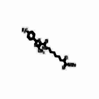 CNC(=O)C(=O)CCCCCCNC(=O)c1sc(-c2ccc(C(F)(F)F)cc2)nc1C